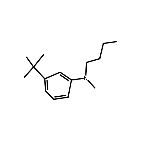 CCCCN(C)c1cccc(C(C)(C)C)c1